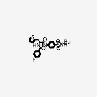 CC(C)(C)NS(=O)(=O)c1ccc(NC(=O)[C@H](Cc2cccs2)NC(=O)c2ccc(F)cc2)cc1